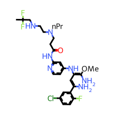 CCCN(CCNCC(C)(F)F)CCC(=O)Nc1cc(NC(/C=C(\N)c2cc(Cl)ccc2F)=C(/N)OC)ccn1